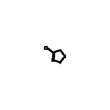 ClC1=N[C]SC1